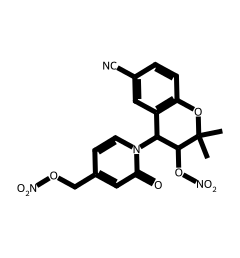 CC1(C)Oc2ccc(C#N)cc2C(n2ccc(CO[N+](=O)[O-])cc2=O)C1O[N+](=O)[O-]